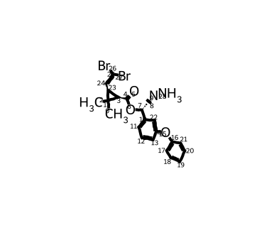 CC1(C)[C@H](C(=O)O[C@H](C#N)c2cccc(Oc3ccccc3)c2)[C@@H]1C=C(Br)Br.N